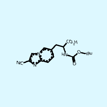 CC(C)(C)OC(=O)NC(Cc1ccc2nc(C#N)cn2c1)C(=O)O